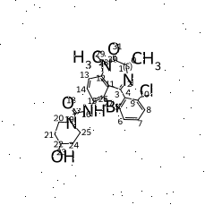 C[C@@H]1N=C(c2ccccc2Cl)c2c(ccc(NC(=O)N3CCC(O)CC3)c2Br)N(C)C1=O